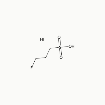 I.O=S(=O)(O)CCCF